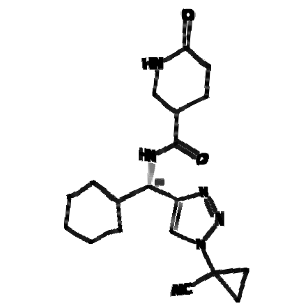 N#CC1(n2cc([C@@H](NC(=O)C3CCC(=O)NC3)C3CCCCC3)nn2)CC1